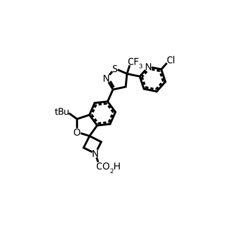 CC(C)(C)C1OC2(CN(C(=O)O)C2)c2ccc(C3=NSC(c4cccc(Cl)n4)(C(F)(F)F)C3)cc21